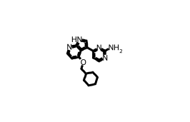 Nc1nccc(-c2c[nH]c3nccc(OCC4CCCCC4)c23)n1